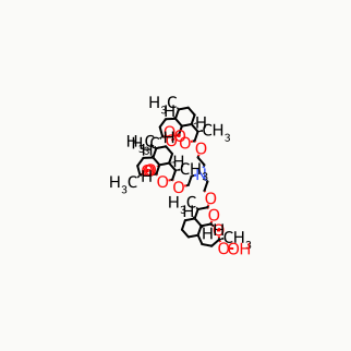 C[C@@H]1CC[C@H]2[C@@H](C)C(OCCN(CCOC3O[C@@H]4O[C@](C)(OO)CCC5CCC[C@H]([C@@H]54)[C@H]3C)CCOC3O[C@@H]4O[C@@]5(C)CC[C@H]6[C@H](C)CC[C@@H]([C@H]3C)[C@@]46OO5)O[C@@H]3O[C@@]4(C)CC[C@@H]1[C@]32OO4